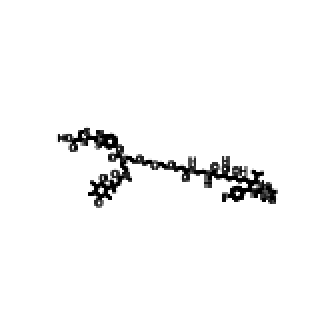 CC1=C(C)C(=O)C(C(C)(C)CC(=O)N(C)CCN(CCOCCOCCOCCC(=O)NCCNC(=O)C[C@H](O)C[C@H](O)C=Cc2c(-c3ccc(F)cc3)nc(N(C)S(C)(=O)=O)nc2C(C)C)C(=O)Oc2ccc3nc(C4=NC(C(=O)O)CS4)sc3c2)=C(C)C1=O